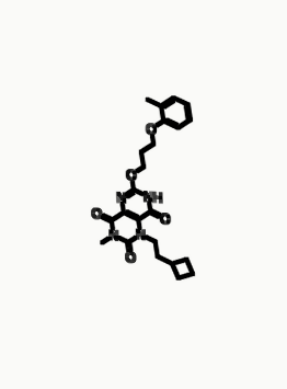 Cc1ccccc1OCCCOc1nc2c(=O)n(C)c(=O)n(CCC3CCC3)c2c(=O)[nH]1